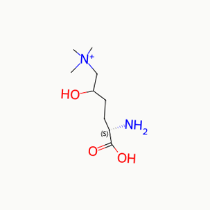 C[N+](C)(C)CC(O)CC[C@H](N)C(=O)O